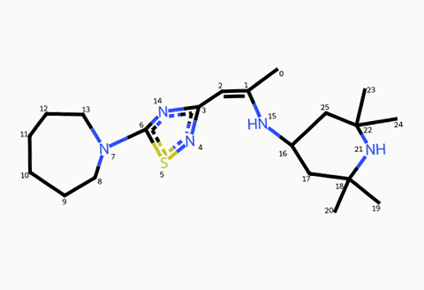 CC(=Cc1nsc(N2CCCCCC2)n1)NC1CC(C)(C)NC(C)(C)C1